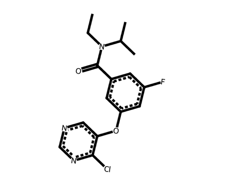 CCN(C(=O)c1cc(F)cc(Oc2cncnc2Cl)c1)C(C)C